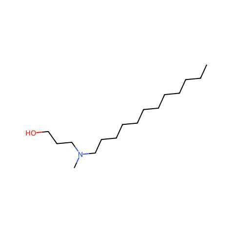 CCCCCCCCCCCCN(C)CCCO